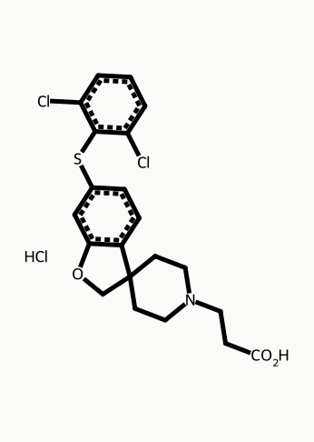 Cl.O=C(O)CCN1CCC2(CC1)COc1cc(Sc3c(Cl)cccc3Cl)ccc12